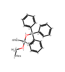 CCCCCC[SiH2]O[Si](CCCCCC)(CCCCCC)O[Si](c1ccccc1)(c1ccccc1)c1ccccc1